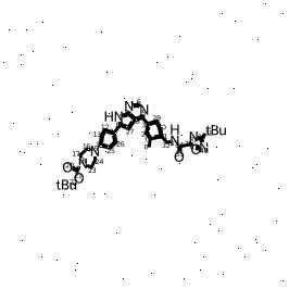 Cc1cc(-c2ncnc3[nH]c(-c4ccc(N5CCN(C(=O)OC(C)(C)C)CC5)cc4)cc23)ccc1CNC(=O)c1nc(C(C)(C)C)no1